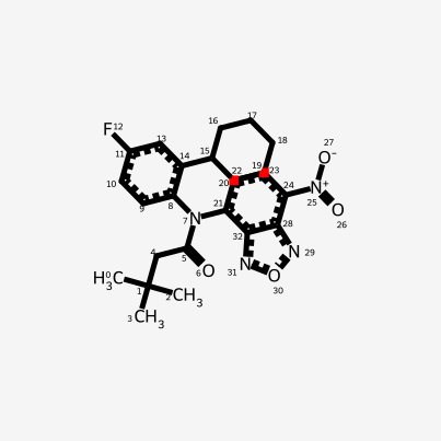 CC(C)(C)CC(=O)N(c1ccc(F)cc1C1CCCCC1)c1ccc([N+](=O)[O-])c2nonc12